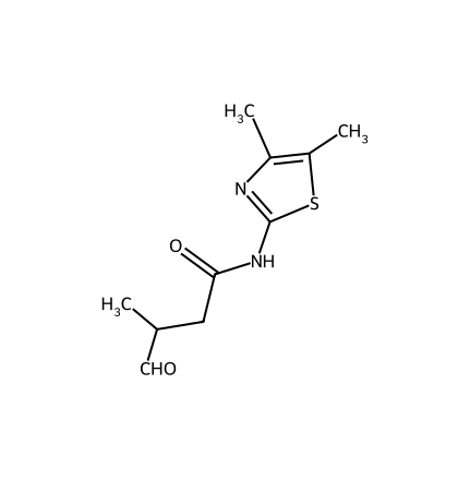 Cc1nc(NC(=O)CC(C)C=O)sc1C